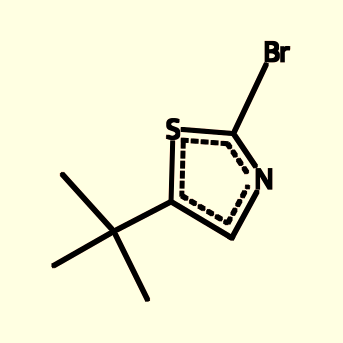 CC(C)(C)c1cnc(Br)s1